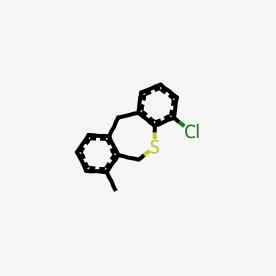 Cc1cccc2c1CSc1c(Cl)cccc1C2